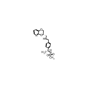 C[C@@H](NS(C)(=O)=O)c1ccc(CNC[C@H]2COc3cccnc3O2)cc1